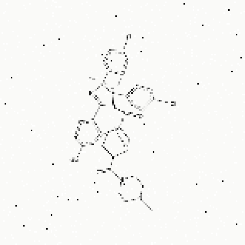 CCOc1cc(C(C)(C)C)ncc1C1=N[C@@](C)(c2ccc(Cl)cc2)[C@@](C)(c2ccc(Cl)cc2)N1C(=O)N1CCC(C(=O)N2CCN(C)CC2)CC1